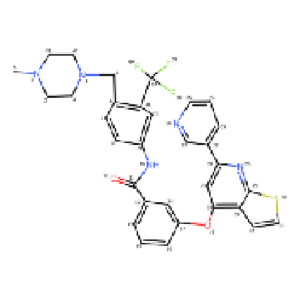 CN1CCN(Cc2ccc(NC(=O)c3cccc(Oc4cc(-c5cccnc5)nc5sccc45)c3)cc2C(F)(F)F)CC1